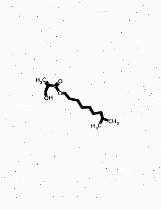 C=C(CO)C(=O)OCCCCCCCC(C)C